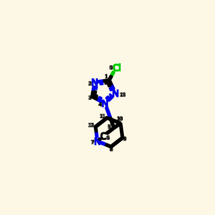 Clc1ncn(C2CN3CCC2CC3)n1